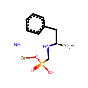 N.O=C(O)[C@H](Cc1ccccc1)NCP(=O)(O)OBr